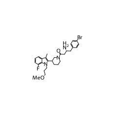 COCCCn1c(C2CCCN(C(=O)C[C@H](N)Cc3ccc(Br)cc3)C2)c(C)c2cccc(F)c21